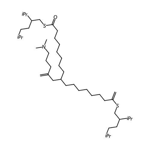 C=C(CCCN(C)C)CC(CCCCCCCC(=C)SCC(CCC(C)C)C(C)C)CCCCCCCC(=O)SCC(CCC(C)C)C(C)C